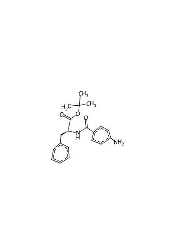 CC(C)(C)OC(=O)[C@H](Cc1ccccc1)NC(=O)c1ccc(N)cc1